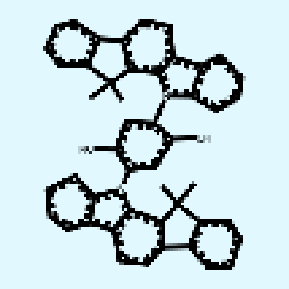 CC1(C)c2ccccc2-c2ccc3c4ccccc4n(-c4cc(C#N)c(-n5c6ccccc6c6ccc7c(c65)C(C)(C)c5ccccc5-7)cc4C#N)c3c21